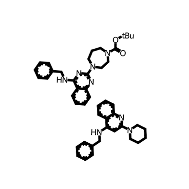 CC(C)(C)OC(=O)N1CCCN(c2nc(NCc3ccccc3)c3ccccc3n2)CC1.c1ccc(CNc2cc(N3CCCCC3)nc3ccccc23)cc1